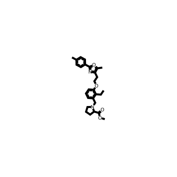 CCc1c(CN2CCCC2C(=O)OC)cccc1OCCc1nc(-c2ccc(C)cc2)oc1C